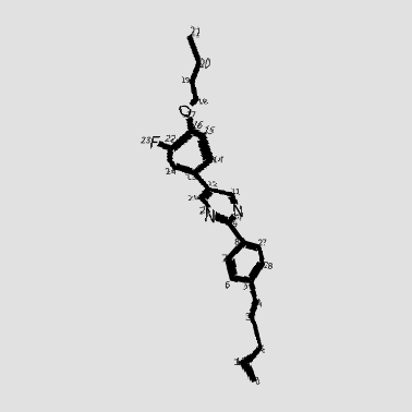 CCCCCc1ccc(-c2ncc(-c3ccc(OCCCC)c(F)c3)cn2)cc1